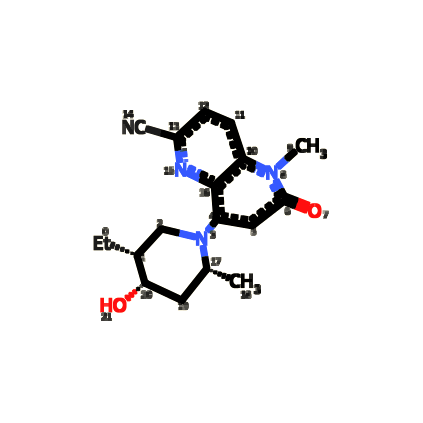 CC[C@@H]1CN(c2cc(=O)n(C)c3ccc(C#N)nc23)[C@H](C)C[C@@H]1O